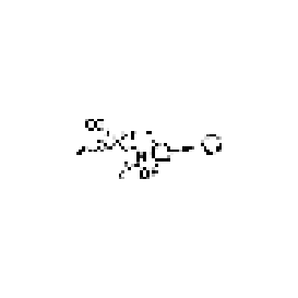 C=CCOCC(CC)(CCN(C(N)=O)c1c(F)cc(C#Cc2ccccc2)cc1F)CC(=O)O